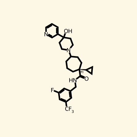 O=C(NCc1cc(F)cc(C(F)(F)F)c1)[C@]1(C2CC2)CCCC(N2CCC(O)(c3cccnc3)CC2)CC1